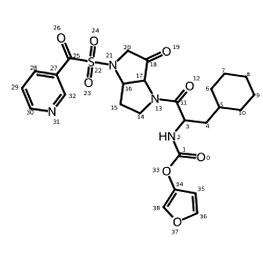 O=C(NC(CC1CCCCC1)C(=O)N1CCC2C1C(=O)CN2S(=O)(=O)C(=O)c1cccnc1)Oc1ccoc1